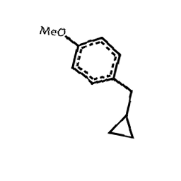 COc1ccc(C[C]2CC2)cc1